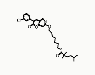 CC(C)CCC(C)(C)C(=O)SCCCCCCCOc1cc2oc(=O)c(-c3cccc(Cl)c3)cc2cn1